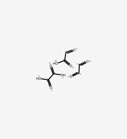 O=C(O)C(=O)O.O=CC(=O)O.O=CC=O